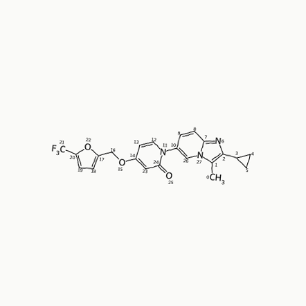 Cc1c(C2CC2)nc2ccc(-n3ccc(OCc4ccc(C(F)(F)F)o4)cc3=O)cn12